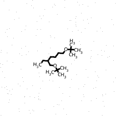 CCC(CCCCOC(C)(C)C)COC(C)(C)C